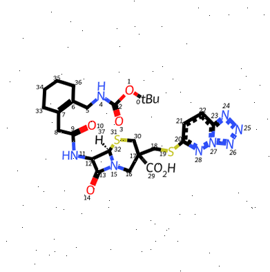 CC(C)(C)OC(=O)NCC1=C(CC(=O)NC2C(=O)N3CC(CSc4ccc5nnnn5n4)(C(=O)O)CS[C@H]23)CCCC1